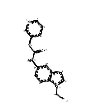 O=C(Nc1cccnc1)Nc1ccc2c(ccn2CI)c1